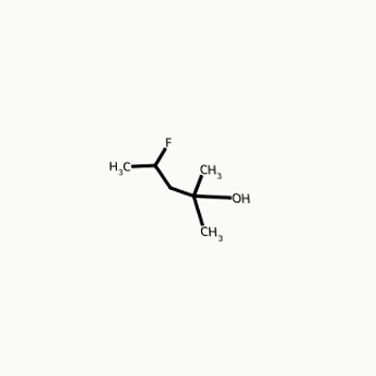 C[C](F)CC(C)(C)O